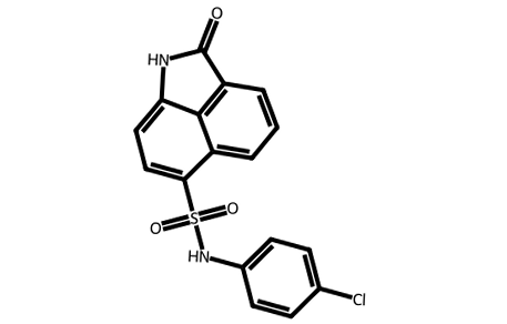 O=C1Nc2ccc(S(=O)(=O)Nc3ccc(Cl)cc3)c3cccc1c23